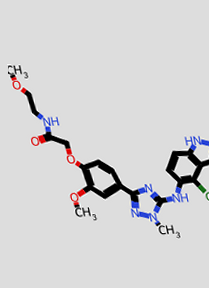 COCCNC(=O)COc1ccc(-c2nc(Nc3ccc4[nH]ncc4c3Cl)n(C)n2)cc1OC